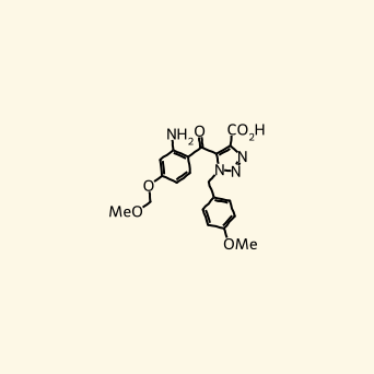 COCOc1ccc(C(=O)c2c(C(=O)O)nnn2Cc2ccc(OC)cc2)c(N)c1